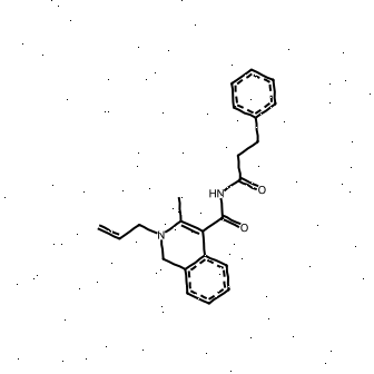 C=CCN1Cc2ccccc2C(C(=O)NC(=O)CCc2ccccc2)=C1C